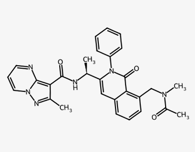 CC(=O)N(C)Cc1cccc2cc([C@H](C)NC(=O)c3c(C)nn4cccnc34)n(-c3ccccc3)c(=O)c12